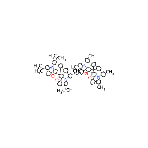 Cc1ccc(N(c2ccc(C)cc2)c2cc3c(c4oc5ccccc5c24)-c2c(cc(N(c4ccc(C)cc4)c4ccc(C)cc4)c4c2oc2cc(CC(C)c5ccc(N(c6ccc(C(C)C)cc6)c6cc7c(c8oc9ccccc9c68)-c6c(cc(N(c8ccc(C(C)C)cc8)c8ccc(C(C)C)cc8)c8c6oc6ccccc68)C7(c6ccccc6)c6ccccc6)cc5)ccc24)C3(c2ccccc2)c2ccccc2)cc1